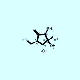 B[C@@H]1C(=C)[C@H](CO)[C@@H](O)[C@]1(O)C(F)(F)F